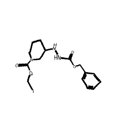 O=C(NNC1CCCN(C(=O)OCI)C1)OCc1ccccc1